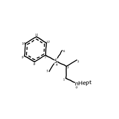 CCCCCCCCC(C)S(C)(C)c1ccccc1